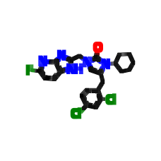 O=c1n(Cc2nc3nc(F)ccc3[nH]2)cc(Cc2ccc(Cl)cc2Cl)n1C1CCCCC1